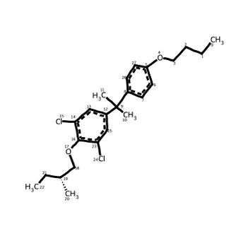 CCCCOc1ccc(C(C)(C)c2cc(Cl)c(OC[C@H](C)CC)c(Cl)c2)cc1